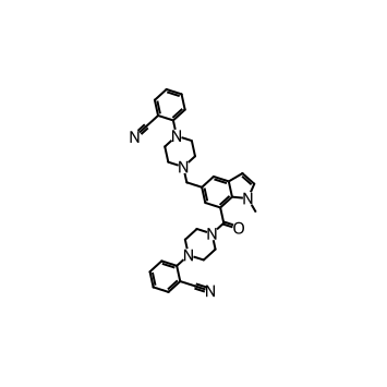 Cn1ccc2cc(CN3CCN(c4ccccc4C#N)CC3)cc(C(=O)N3CCN(c4ccccc4C#N)CC3)c21